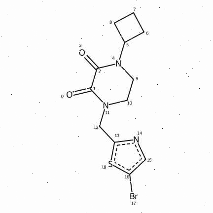 O=C1C(=O)N(C2CCC2)CCN1Cc1ncc(Br)s1